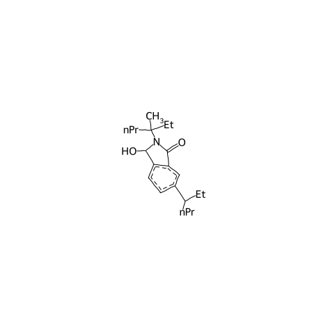 CCCC(CC)c1ccc2c(c1)C(=O)N(C(C)(CC)CCC)C2O